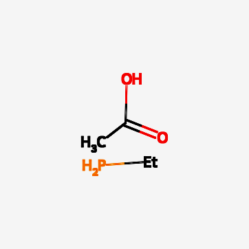 CC(=O)O.CCP